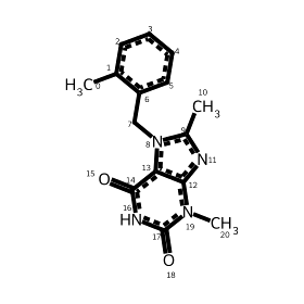 Cc1ccccc1Cn1c(C)nc2c1c(=O)[nH]c(=O)n2C